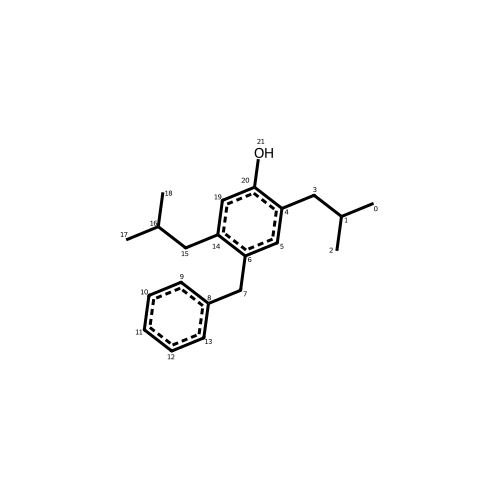 CC(C)Cc1cc(Cc2ccccc2)c(CC(C)C)cc1O